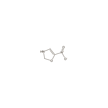 O=[N+]([O-])C1=[C]NCO1